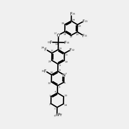 CCCC1CC=C(c2cnc(-c3cc(F)c(C(F)(F)Oc4cc(F)c(F)c(F)c4)c(F)c3)c(F)c2)CC1